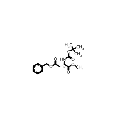 COC(=O)[C@H](CC(=O)OCc1ccccc1)NC(=O)OC(C)(C)C